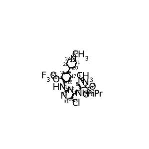 CC(C)S(=O)(=O)c1nn(C)cc1Nc1nc(Nc2ccc(C3CCN(C)CC3)cc2OC(F)(F)F)ncc1Cl